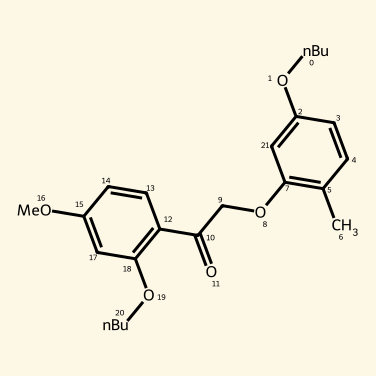 CCCCOc1ccc(C)c(OCC(=O)c2ccc(OC)cc2OCCCC)c1